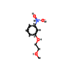 COCCOc1c[c]cc([N+](=O)[O-])c1